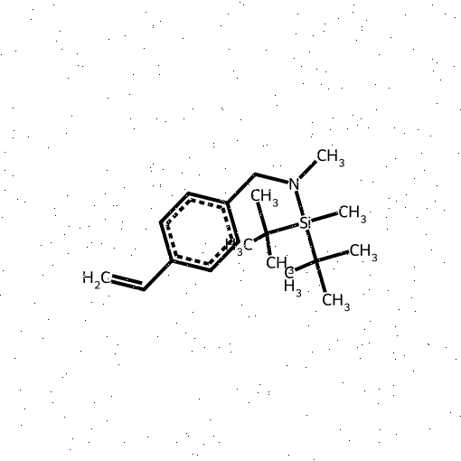 C=Cc1ccc(CN(C)[Si](C)(C(C)(C)C)C(C)(C)C)cc1